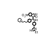 CCc1nc(-c2ccc(N/C(=C3\C(=O)Nc4ccc([N+](=O)[O-])cc43)c3ccc(CCCN4CCCCC4)cc3)cc2)c[nH]1